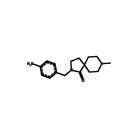 Bc1ccc(CN2CCC3(CCN(C)CC3)C2=O)cc1